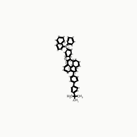 CC(C)(C)c1ccc(-c2ccc(-c3cc4cccc5c6c7ccc(N(c8ccccc8)c8cccc9ccccc89)cc7oc6c6cccc3c6c45)cc2)cc1